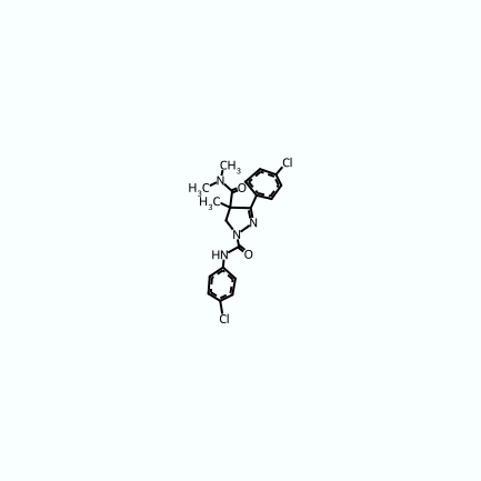 CN(C)C(=O)C1(C)CN(C(=O)Nc2ccc(Cl)cc2)N=C1c1ccc(Cl)cc1